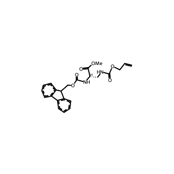 C=CCOC(=O)NC[C@H](NC(=O)OCC1c2ccccc2-c2ccccc21)C(=O)OC